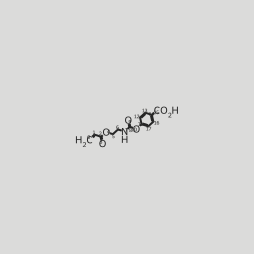 C=CC(=O)OCCNC(=O)Oc1ccc(C(=O)O)cc1